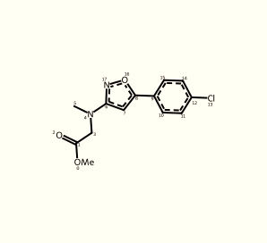 COC(=O)CN(C)c1cc(-c2ccc(Cl)cc2)on1